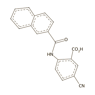 N#Cc1ccc(NC(=O)c2ccc3ccccc3c2)c(C(=O)O)c1